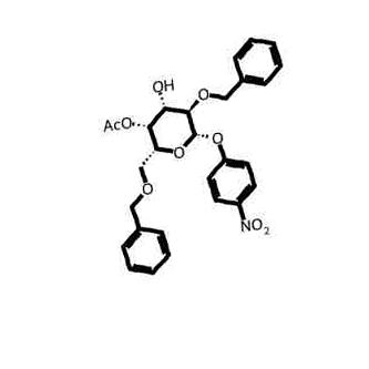 CC(=O)O[C@@H]1[C@H](O)[C@@H](OCc2ccccc2)[C@H](Oc2ccc([N+](=O)[O-])cc2)O[C@@H]1COCc1ccccc1